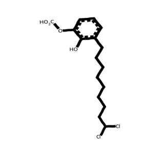 O=C(O)Oc1cccc(CCCCCCCCC(Cl)Cl)c1O